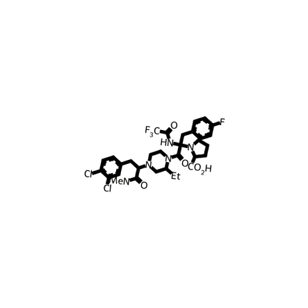 CCC1CN(C(Cc2ccc(Cl)c(Cl)c2)C(=O)NC)CCN1C(=O)C(Cc1ccc(F)cc1)(NC(=O)C(F)(F)F)N1CCCC1C(=O)O